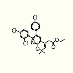 CCOC(=O)CC1=CC(C)(C)Oc2nc(-c3ccc(Cl)cc3Cl)c(-c3ccc(Cl)cc3)cc21